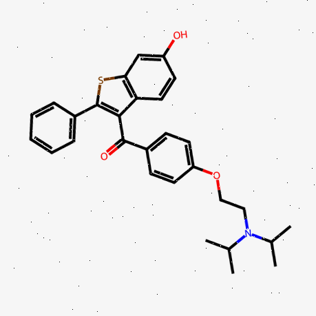 CC(C)N(CCOc1ccc(C(=O)c2c(-c3ccccc3)sc3cc(O)ccc23)cc1)C(C)C